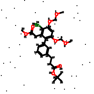 COCOc1cc(OCOC)c(-c2cccc(CCC(=O)OC(C)(C)C)c2)c(CC(=O)OC)c1Br